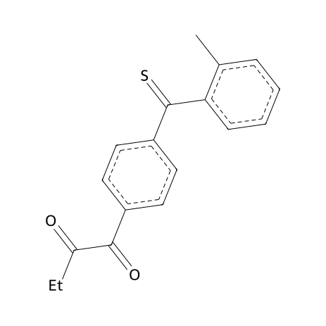 CCC(=O)C(=O)c1ccc(C(=S)c2ccccc2C)cc1